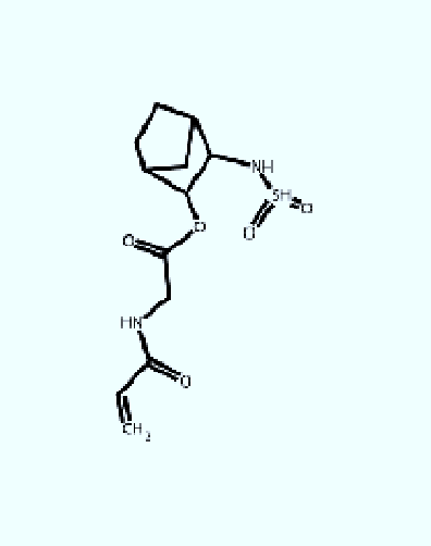 C=CC(=O)NCC(=O)OC1C2CCC(C2)C1N[SH](=O)=O